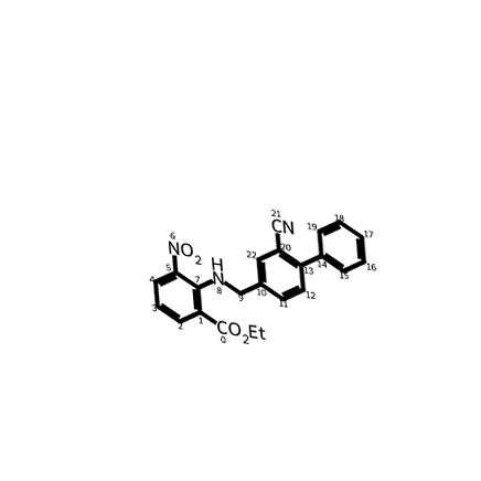 CCOC(=O)c1cccc([N+](=O)[O-])c1NCc1ccc(-c2ccccc2)c(C#N)c1